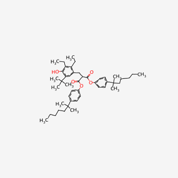 CCCCCC(C)(C)c1ccc(OC(=O)C(Cc2cc(C(C)(C)C)c(O)c(CC)c2CC)C(=O)Oc2ccc(C(C)(C)CCCCC)cc2)cc1